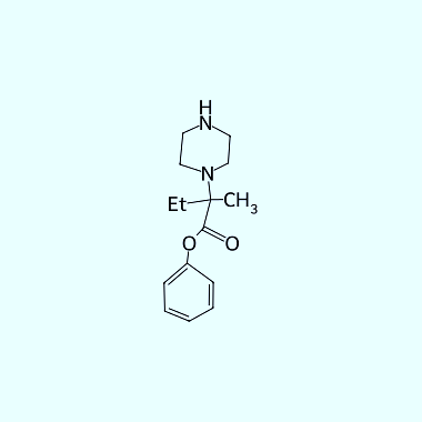 CCC(C)(C(=O)Oc1ccccc1)N1CCNCC1